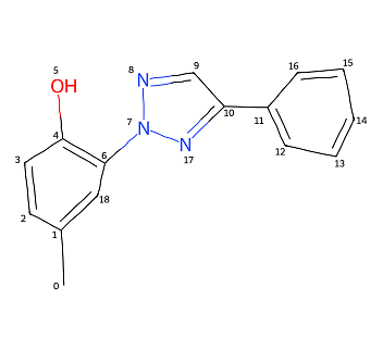 Cc1ccc(O)c(-n2ncc(-c3ccccc3)n2)c1